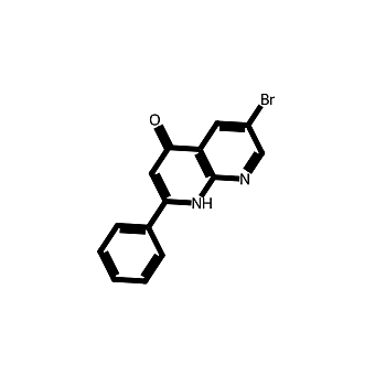 O=c1cc(-c2ccccc2)[nH]c2ncc(Br)cc12